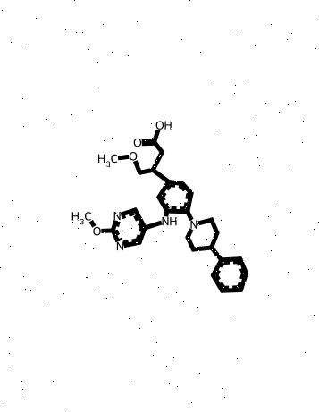 COCC(CC(=O)O)c1ccc(N2CCC(c3ccccc3)CC2)c(Nc2cnc(OC)nc2)c1